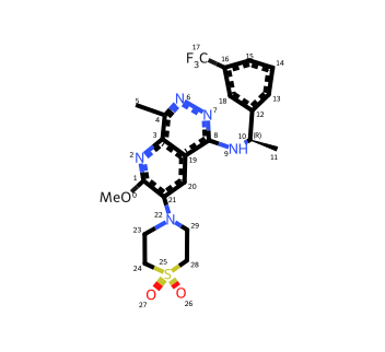 COc1nc2c(C)nnc(N[C@H](C)c3cccc(C(F)(F)F)c3)c2cc1N1CCS(=O)(=O)CC1